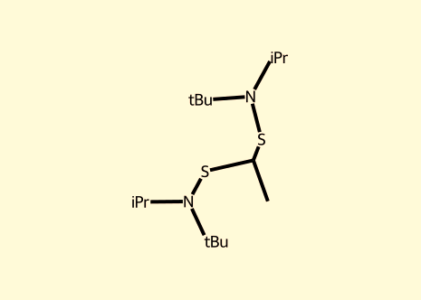 CC(SN(C(C)C)C(C)(C)C)SN(C(C)C)C(C)(C)C